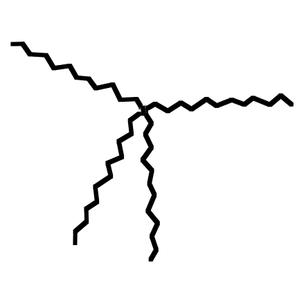 CCCCCCCCCCC[CH2][Ti]([CH2]CCCCCCCCCCC)([CH2]CCCCCCCCCCC)[CH2]CCCCCCCCCCC